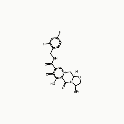 CCCC1CO[C@@H]2Cn3cc(C(=O)NCc4ccc(F)cc4F)c(=O)c(O)c3C(=O)N12